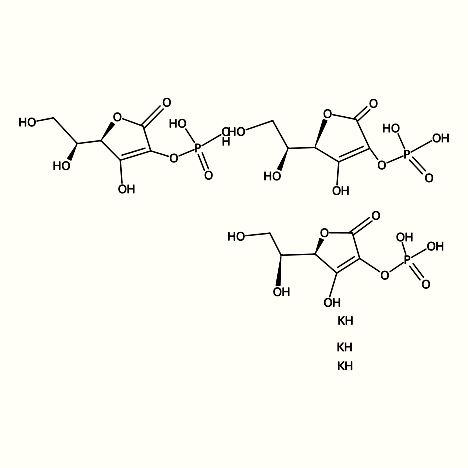 O=C1O[C@H]([C@@H](O)CO)C(O)=C1OP(=O)(O)O.O=C1O[C@H]([C@@H](O)CO)C(O)=C1OP(=O)(O)O.O=C1O[C@H]([C@@H](O)CO)C(O)=C1OP(=O)(O)O.[KH].[KH].[KH]